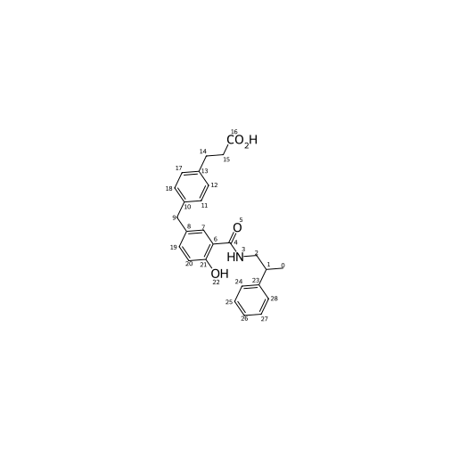 CC(CNC(=O)c1cc(Cc2ccc(CCC(=O)O)cc2)ccc1O)c1ccccc1